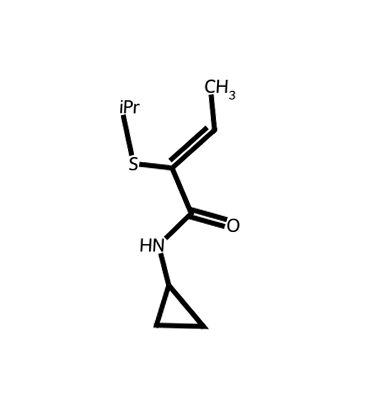 C/C=C(\SC(C)C)C(=O)NC1CC1